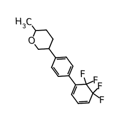 CC1CCC(c2ccc(C3=CC=CC(F)(F)C3(F)F)cc2)CO1